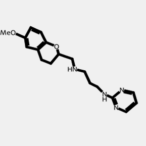 COc1ccc2c(c1)CCC(CNCCCNc1ncccn1)O2